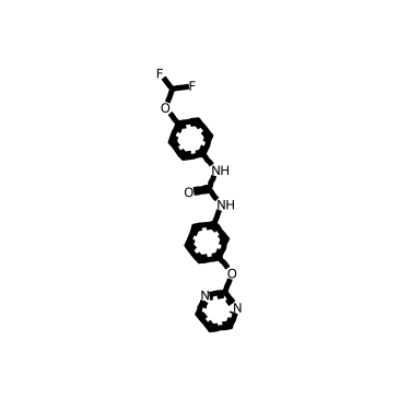 O=C(Nc1ccc(OC(F)F)cc1)Nc1cccc(Oc2ncccn2)c1